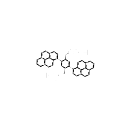 O=C(O)Cc1cc(-c2ccc3ccc4cccc5ccc2c3c45)c(CC(=O)O)cc1-c1ccc2ccc3cccc4ccc1c2c34